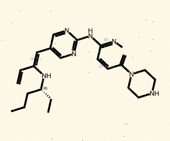 C=C/C(=C/c1cnc(NC(/C=C\C(=C)N2CCNCC2)=N/C)nc1)N[C@H](CC)CCC